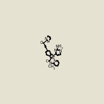 CN(C(=O)c1nn(-c2ccnc(N)n2)c2cc(C#CC(=O)c3ncccn3)ccc12)c1ccccn1